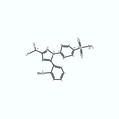 CSc1ccccc1-c1cc(C(F)F)nn1-c1ccc(S(N)(=O)=O)cc1